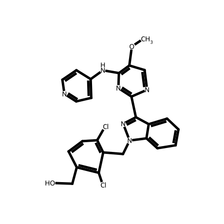 COc1cnc(-c2nn(Cc3c(Cl)ccc(CO)c3Cl)c3ccccc23)nc1Nc1ccncc1